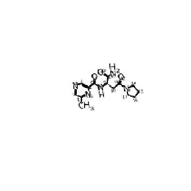 Cc1cncc(C(=O)N[C@H](CC(=O)N2CCCC2)C(N)=O)n1